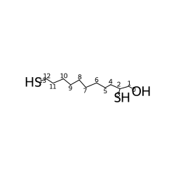 OCC(S)CCCCCCCCCS